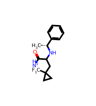 C[C@@H](NC(CC1(C(F)(F)F)CC1)C(N)=O)c1ccccc1